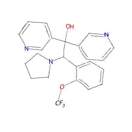 OC(c1cccnc1)(c1cccnc1)C(c1ccccc1OC(F)(F)F)N1CCCC1